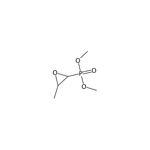 COP(=O)(OC)C1OC1C